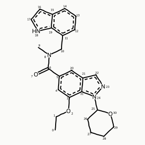 CCOc1cc(C(=O)N(C)Cc2cccc3cc[nH]c23)cc2cnn(C3CCCCO3)c12